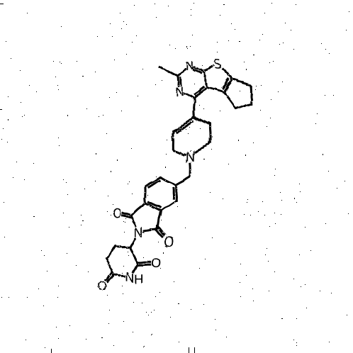 Cc1nc(C2=CCN(Cc3ccc4c(c3)C(=O)N(C3CCC(=O)NC3=O)C4=O)CC2)c2c3c(sc2n1)CCC3